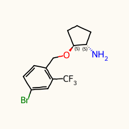 N[C@H]1CCC[C@@H]1OCc1ccc(Br)cc1C(F)(F)F